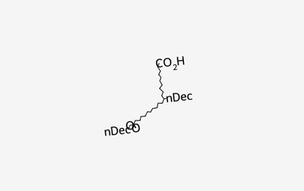 CCCCCCCCCCOC(=O)CCCCCCCCCCC(CCCCCCCCCC)CCCCCCCCCC(=O)O